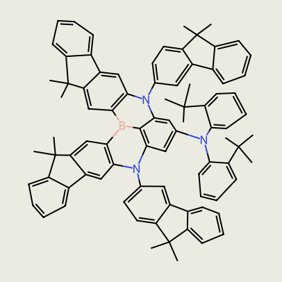 CC(C)(C)c1ccccc1N(c1cc2c3c(c1)N(c1ccc4c(c1)-c1ccccc1C4(C)C)c1cc4c(cc1B3c1cc3c(cc1N2c1ccc2c(c1)-c1ccccc1C2(C)C)-c1ccccc1C3(C)C)C(C)(C)c1ccccc1-4)c1ccccc1C(C)(C)C